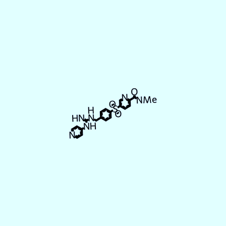 CNC(=O)c1ccc(S(=O)(=O)c2ccc(CNC(=N)Nc3ccncc3)cc2)cn1